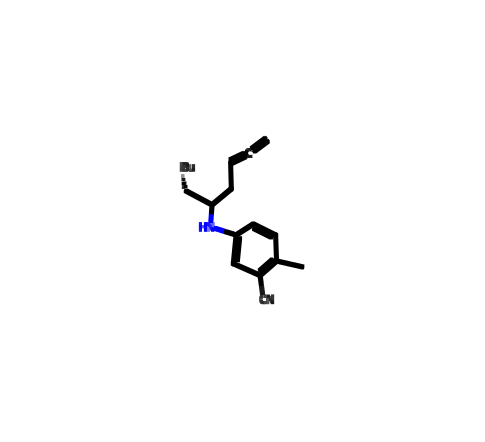 C=C=CCC(C[C@@H](C)CC)Nc1ccc(C)c(C#N)c1